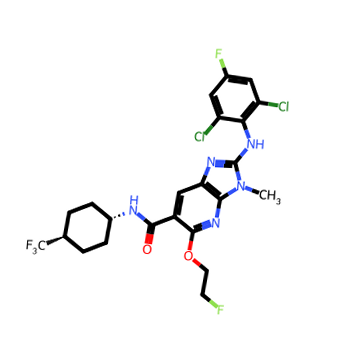 Cn1c(Nc2c(Cl)cc(F)cc2Cl)nc2cc(C(=O)N[C@H]3CC[C@H](C(F)(F)F)CC3)c(OCCF)nc21